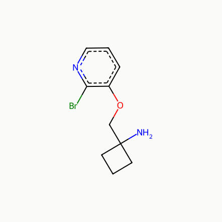 NC1(COc2cccnc2Br)CCC1